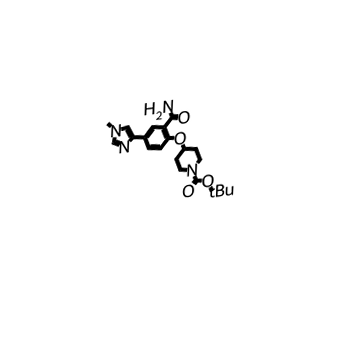 Cn1cnc(-c2ccc(OC3CCN(C(=O)OC(C)(C)C)CC3)c(C(N)=O)c2)c1